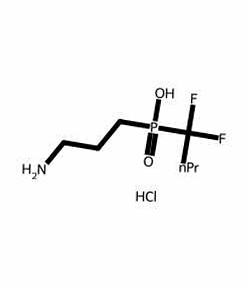 CCCC(F)(F)P(=O)(O)CCCN.Cl